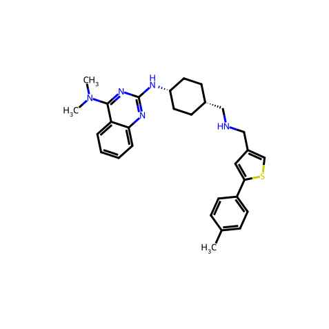 Cc1ccc(-c2cc(CNC[C@H]3CC[C@@H](Nc4nc(N(C)C)c5ccccc5n4)CC3)cs2)cc1